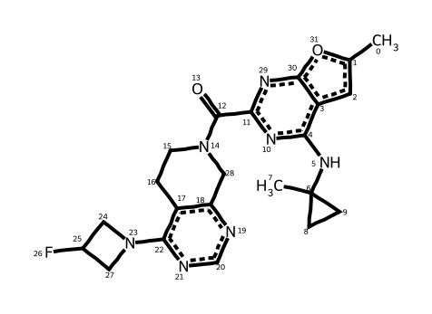 Cc1cc2c(NC3(C)CC3)nc(C(=O)N3CCc4c(ncnc4N4CC(F)C4)C3)nc2o1